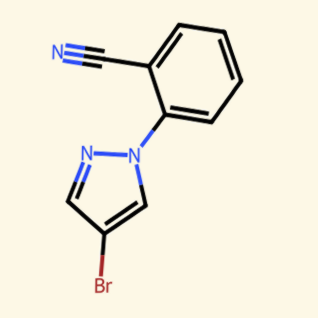 N#Cc1ccccc1-n1cc(Br)cn1